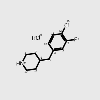 Cl.Fc1cc(CC2CCNCC2)ccc1Cl